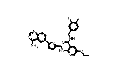 CCOc1cnc(NCc2ccc(-c3ccc4ncnc(N)c4c3)s2)c(C(=O)NCc2ccc(C)c(F)c2)c1